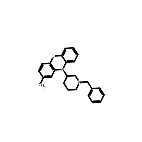 Cc1ccc2c(c1)N(C1CCCN(Cc3ccccc3)C1)c1ccccc1S2